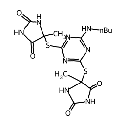 CCCCNc1nc(SC2(C)NC(=O)NC2=O)nc(SC2(C)NC(=O)NC2=O)n1